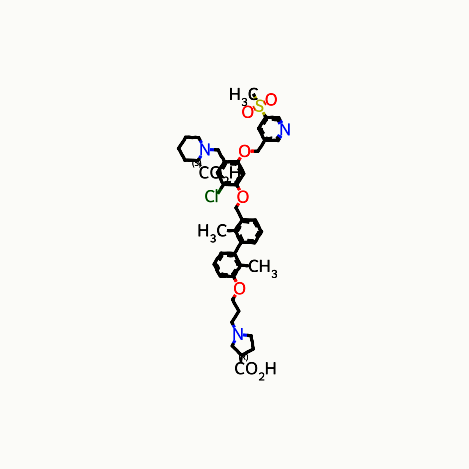 Cc1c(COc2cc(OCc3cncc(S(C)(=O)=O)c3)c(CN3CCCC[C@H]3C(=O)O)cc2Cl)cccc1-c1cccc(OCCCN2CC[C@@H](C(=O)O)C2)c1C